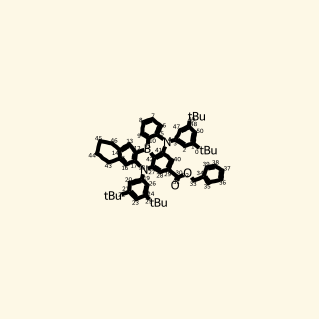 CC(C)(C)c1cc(N2c3ccccc3B3c4cc5c(cc4N(c4cc(C(C)(C)C)cc(C(C)(C)C)c4)c4cc(C(=O)OCc6ccccc6)cc2c43)CCCC5)cc(C(C)(C)C)c1